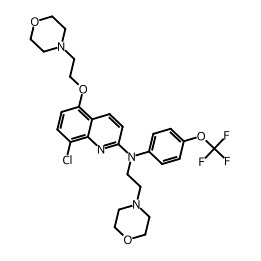 FC(F)(F)Oc1ccc(N(CCN2CCOCC2)c2ccc3c(OCCN4CCOCC4)ccc(Cl)c3n2)cc1